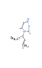 C=CC(C=O)N1CCNCC1